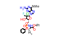 CNc1nc(N)nc2c1ncn2[C@@H]1O[C@H](CO[P@@](=O)(NC(C)C(=O)OC(C)C)Oc2ccccc2)[C@@H](O)[C@]1(Cl)CF